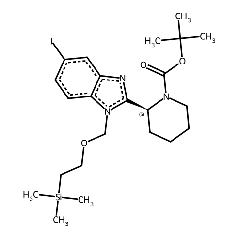 CC(C)(C)OC(=O)N1CCCC[C@H]1c1nc2cc(I)ccc2n1COCC[Si](C)(C)C